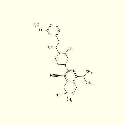 COc1cccc(CC(=O)N2CCN(c3nc(C(C)C)c4c(c3C#N)CC(C)(C)OC4)CC2C)c1